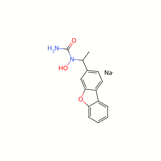 CC(c1ccc2c(c1)oc1ccccc12)N(O)C(N)=O.[Na]